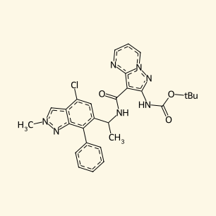 CC(NC(=O)c1c(NC(=O)OC(C)(C)C)nn2cccnc12)c1cc(Cl)c2cn(C)nc2c1-c1ccccc1